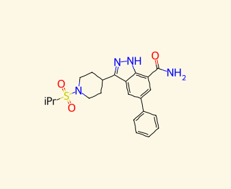 CC(C)S(=O)(=O)N1CCC(c2n[nH]c3c(C(N)=O)cc(-c4ccccc4)cc23)CC1